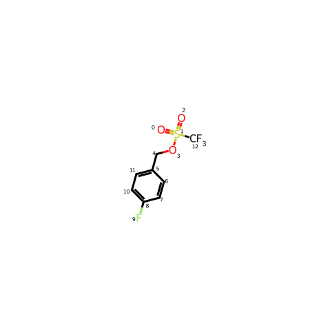 O=S(=O)(OCc1ccc(F)cc1)C(F)(F)F